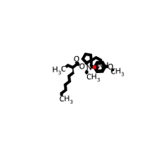 CCCCCCC[C@@H](CC)C(=O)O[C@]1(N(CC)c2ccc(OC)cc2)CCCC12CCNCC2